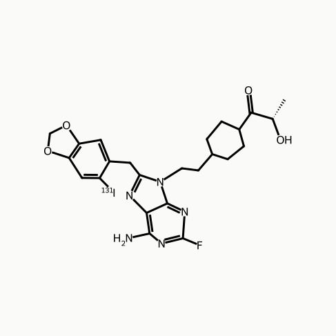 C[C@H](O)C(=O)C1CCC(CCn2c(Cc3cc4c(cc3[131I])OCO4)nc3c(N)nc(F)nc32)CC1